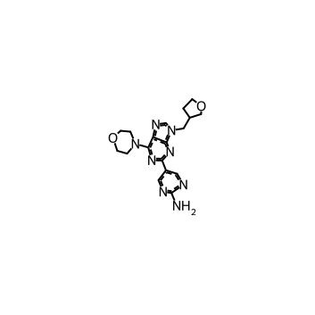 Nc1ncc(-c2nc(N3CCOCC3)c3ncn(CC4CCOC4)c3n2)cn1